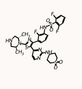 C[C@H]1CNC[C@H](C)N1c1nc(-c2cccc(NS(=O)(=O)c3c(F)cccc3F)c2F)c(-c2ccnc(NC3CCS(=O)(=O)CC3)n2)s1